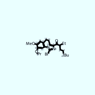 CCC(CCC(C)(C)C)C(=O)c1nc(Br)n2c1CCc1cc(OC)c(OC(C)C)cc1-2